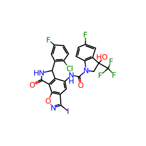 O=C1NC(c2cc(F)ccc2Cl)c2c(NC(=O)N3CC(O)(C(F)(F)F)c4cc(F)ccc43)cc3c(I)noc3c21